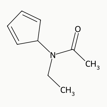 CCN(C(C)=O)C1C=CC=C1